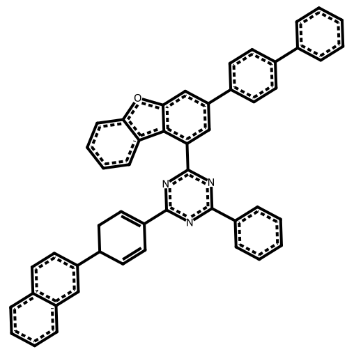 C1=CC(c2ccc3ccccc3c2)CC=C1c1nc(-c2ccccc2)nc(-c2cc(-c3ccc(-c4ccccc4)cc3)cc3oc4ccccc4c23)n1